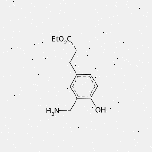 CCOC(=O)CCc1ccc(O)c(CN)c1